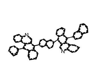 c1ccc(-c2c3ccccc3c(-c3ccc4cc(-c5c6ccccc6c(-c6ccc7ccccc7c6)c6c5cnc5ccccc56)ccc4c3)c3cnc4ccccc4c23)cc1